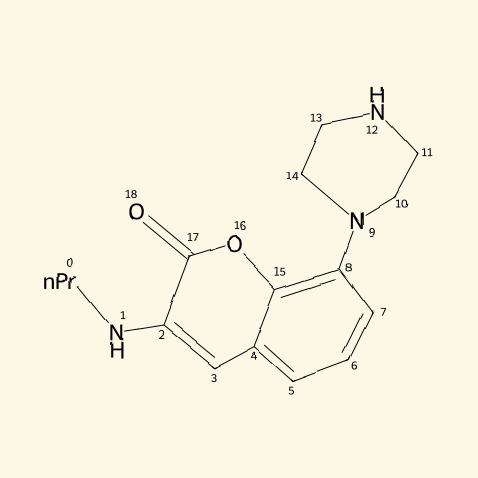 CCCNc1cc2cccc(N3CCNCC3)c2oc1=O